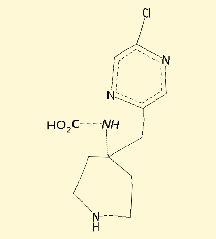 O=C(O)NC1(Cc2cnc(Cl)cn2)CCNCC1